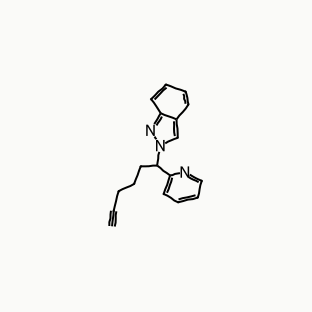 C#CCCCC(c1ccccn1)n1cc2ccccc2n1